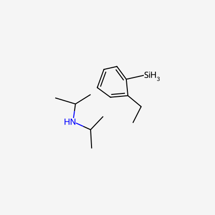 CC(C)NC(C)C.CCc1ccccc1[SiH3]